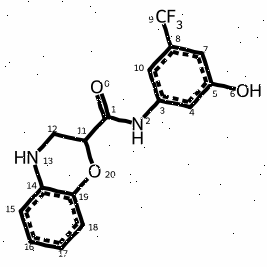 O=C(Nc1cc(O)cc(C(F)(F)F)c1)C1CNc2ccccc2O1